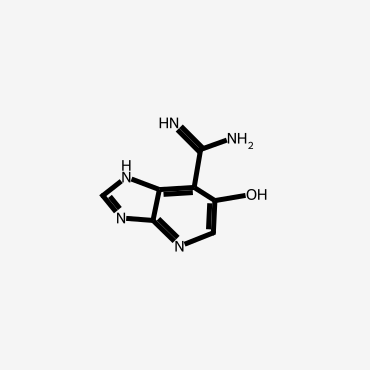 N=C(N)c1c(O)cnc2nc[nH]c12